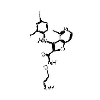 Cc1nccc2oc(C(=O)NOCCO)c(Nc3ccc(I)cc3F)c12